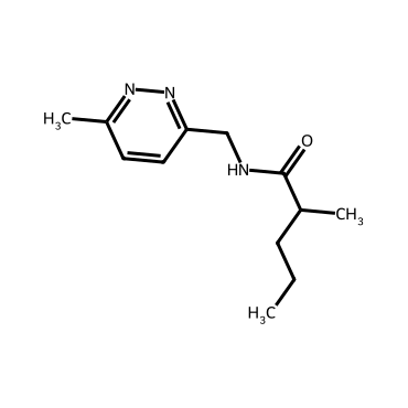 CCCC(C)C(=O)NCc1ccc(C)nn1